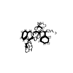 C#CCNCC(=O)N(CC(=O)N(CC(N)=O)[C@@H](C)C1CCCCC1)Cc1ccccc1